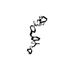 CC(COc1ccccc1)Oc1cccc(C=C2CCN(C(=O)Nc3cccnn3)CC2)c1